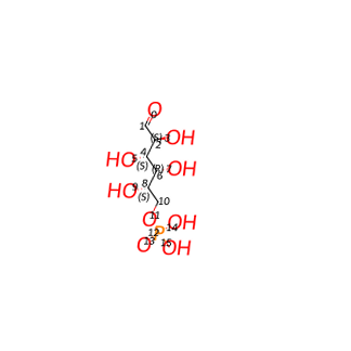 O=C[C@@H](O)[C@@H](O)[C@H](O)[C@@H](O)COP(=O)(O)O